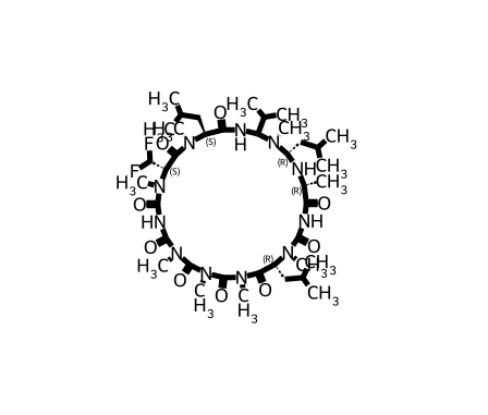 CC(C)C[C@@H]1C(=O)N(C)C(=O)N(C)C(=O)N(C)C(=O)NC(=O)N(C)[C@H](C(F)F)C(=O)N(C)[C@@H](CC(C)C)C(=O)NC(C(C)C)N(C)[C@H](CC(C)C)N[C@H](C)C(=O)NC(=O)N1C